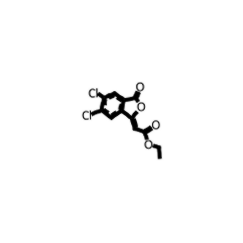 CCOC(=O)C=C1OC(=O)c2cc(Cl)c(Cl)cc21